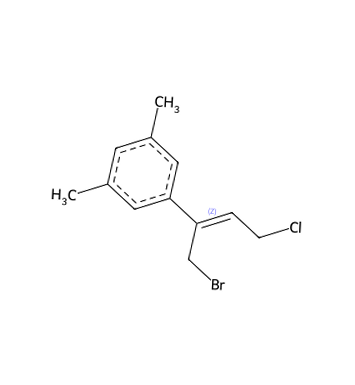 Cc1cc(C)cc(/C(=C/CCl)CBr)c1